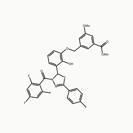 COC(=O)c1cc(COc2cccc(C3SC(c4ccc(F)cc4)=NN3C(=O)c3c(F)cc(F)cc3F)c2O)cc(OC)c1